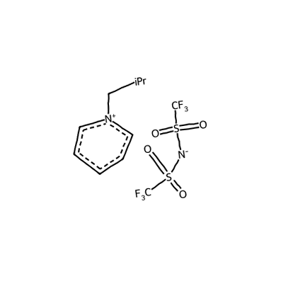 CC(C)C[n+]1ccccc1.O=S(=O)([N-]S(=O)(=O)C(F)(F)F)C(F)(F)F